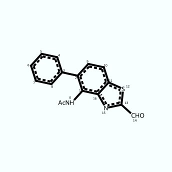 CC(=O)Nc1c(-c2ccccc2)ccc2sc(C=O)nc12